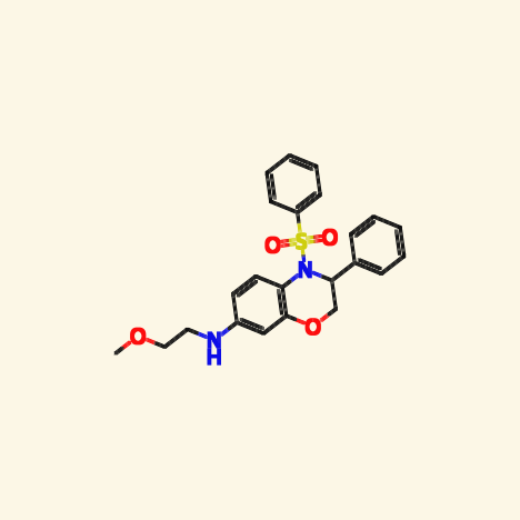 COCCNc1ccc2c(c1)OCC(c1ccccc1)N2S(=O)(=O)c1ccccc1